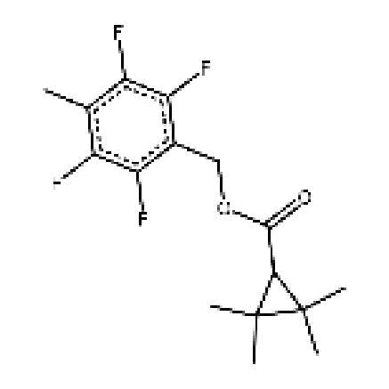 Cc1c(F)c(F)c(COC(=O)C2C(C)(C)C2(C)C)c(F)c1F